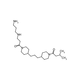 CC(C)CC(=O)N1CCC(CCCC2CCN(C(=O)CCNCCCN)CC2)CC1